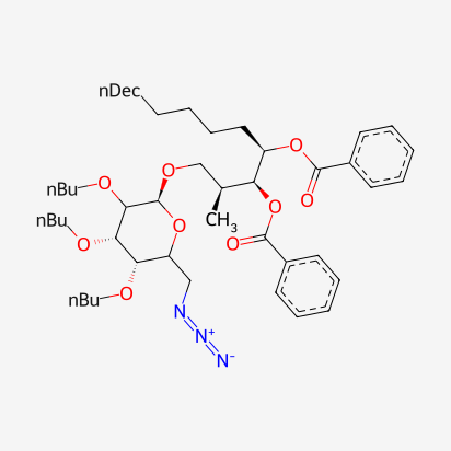 CCCCCCCCCCCCCC[C@@H](OC(=O)c1ccccc1)[C@@H](OC(=O)c1ccccc1)[C@@H](C)CO[C@H]1OC(CN=[N+]=[N-])[C@H](OCCCC)[C@H](OCCCC)C1OCCCC